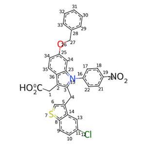 O=C(O)Cc1c(Cc2csc3ccc(Cl)cc23)n(-c2ccc([N+](=O)[O-])cc2)c2cc(OCc3ccccc3)ccc12